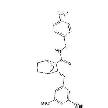 COc1cc(/C=C2\C3CCC(C3)C2C(=O)NCc2ccc(C(=O)O)cc2)cc(OC)c1